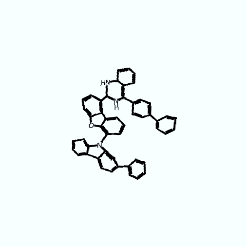 C1=CC2=C(c3ccc(-c4ccccc4)cc3)NC(c3cccc4oc5c(-n6c7ccccc7c7ccc(-c8ccccc8)cc76)cccc5c34)NC2C=C1